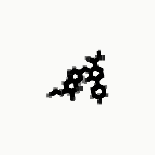 CNC(=O)C1=CC=C(C2=CCNCC2)C(F)N1Cc1cnc2cc(SCF)c(=O)[nH]c2c1